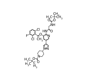 C[C@@H](Oc1cc(-c2cnn(C3CCN(C(=O)OC(C)(C)C)CC3)c2)cnc1NC(=O)CNC(=O)OC(C)(C)C)c1c(Cl)ccc(F)c1Cl